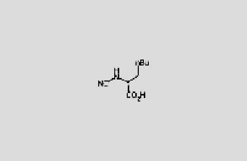 CCCCC[C@H](NC#N)C(=O)O